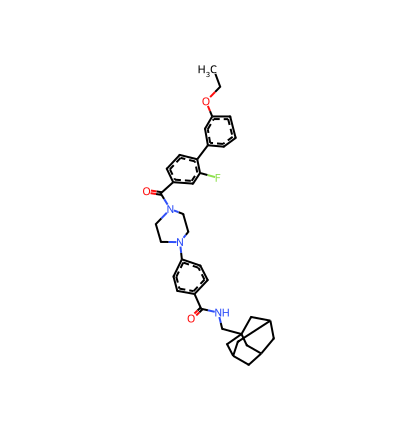 CCOc1cccc(-c2ccc(C(=O)N3CCN(c4ccc(C(=O)NCC56CC7CC(CC(C7)C5)C6)cc4)CC3)cc2F)c1